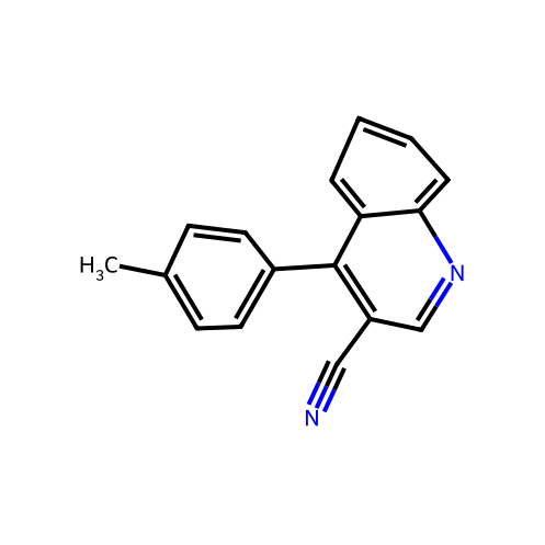 Cc1ccc(-c2c(C#N)cnc3ccccc23)cc1